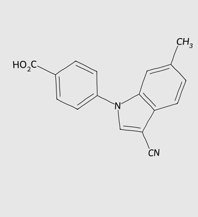 Cc1ccc2c(C#N)cn(-c3ccc(C(=O)O)cc3)c2c1